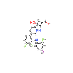 O=CC1CC(O)(C2CCC(c3ccc(F)c(F)c3Nc3ccc(I)cc3F)CN2)C1